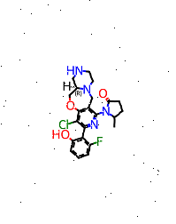 CC1CCC(=O)N1c1nc(-c2c(O)cccc2F)c(Cl)c2c1CN1CCNC[C@@H]1CO2